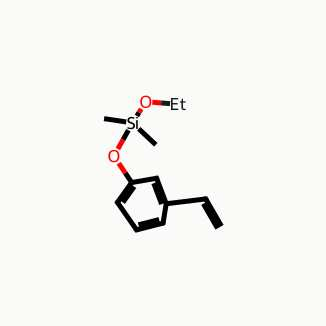 C=Cc1cccc(O[Si](C)(C)OCC)c1